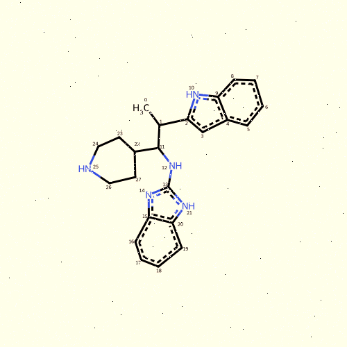 CC(c1cc2ccccc2[nH]1)C(Nc1nc2ccccc2[nH]1)C1CCNCC1